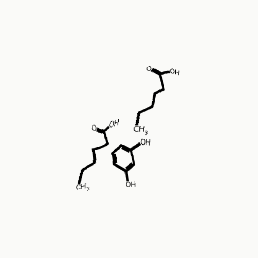 CCCCCC(=O)O.CCCCCC(=O)O.Oc1cccc(O)c1